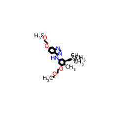 CCOCCOc1cc(Nc2ncnc3cc(OCCOC)ccc23)cc(C#C[Si](C)(C)C)c1C